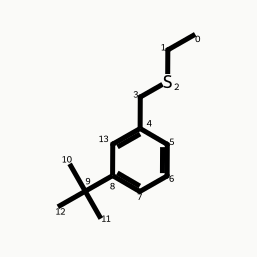 CCSCc1cccc(C(C)(C)C)c1